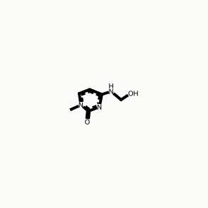 Cn1ccc(NCO)nc1=O